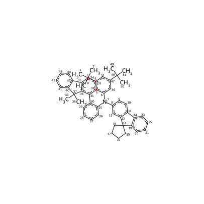 CC(C)(C)c1cc(N(c2ccc3c(c2)C2(CCCC2)c2ccccc2-3)c2ccccc2-c2cccc3c2C(C)(C)c2ccccc2-3)cc(C(C)(C)C)c1